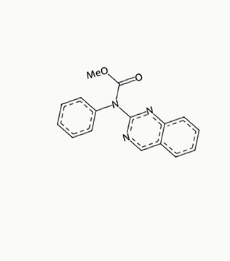 COC(=O)N(c1ccccc1)c1ncc2ccccc2n1